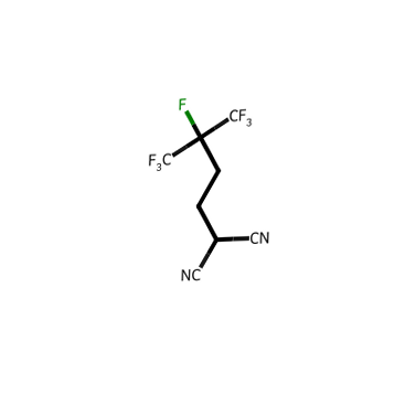 N#CC(C#N)CCC(F)(C(F)(F)F)C(F)(F)F